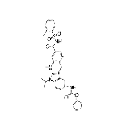 COc1cc(C(=O)NS(=O)(=O)c2ccccc2C)ccc1Cc1cn(C(C)C)c2ccc(NC(=O)OC3CCCC3)cc12